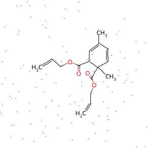 C=CCOC(=O)C1C=C(C)C=CC1(C)C(=O)OCC=C